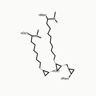 CCCCCCCCC(CCCCCCC[C@H]1C[C@H]1CCCCCCCC)N(C)C.CCCCCCCCCC(CCCCCCCCC[C@H]1C[C@H]1C[C@H]1C[C@H]1CCCCC)N(C)C